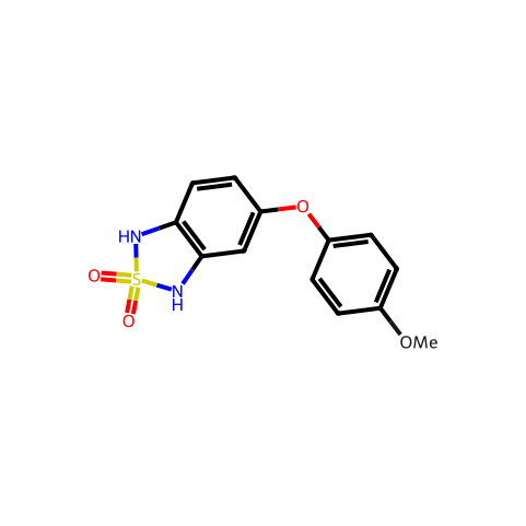 COc1ccc(Oc2ccc3c(c2)NS(=O)(=O)N3)cc1